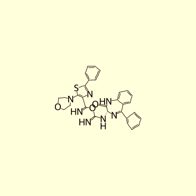 N=C(N[C@H]1N=C(c2ccccc2)c2ccccc2NC1=O)OC(=N)c1nc(-c2ccccc2)sc1N1CCOCC1